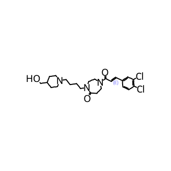 O=C(/C=C/c1ccc(Cl)c(Cl)c1)N1CCC(=O)N(CCCCN2CCC(CO)CC2)CC1